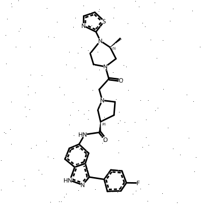 C[C@H]1CN(C(=O)CN2CC[C@@H](C(=O)Nc3ccc4[nH]nc(-c5ccc(F)cc5)c4c3)C2)CCN1c1nccs1